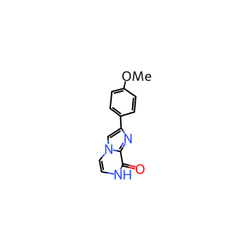 COc1ccc(-c2cn3cc[nH]c(=O)c3n2)cc1